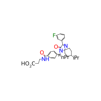 CCC[C@H](c1ccc(C(=O)NCCC(=O)O)cc1)N1C(=O)C(c2cccc(F)c2)=NC12CCC(C(C)C)CC2